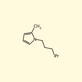 Cc1cccn1CCCC(C)C